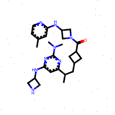 Cc1ccnc(NC2CN(C(=O)C3CC(CC(C)c4cc(NC5CNC5)nc(N(C)C)n4)C3)C2)c1